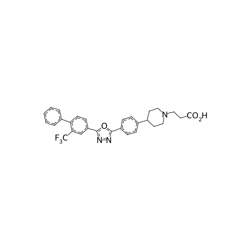 O=C(O)CCN1CCC(c2ccc(-c3nnc(-c4ccc(-c5ccccc5)c(C(F)(F)F)c4)o3)cc2)CC1